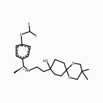 C[C@H](NCCC1(O)CCC2(CC1)OCC(C)(C)CO2)c1ccc(OC(F)F)cc1